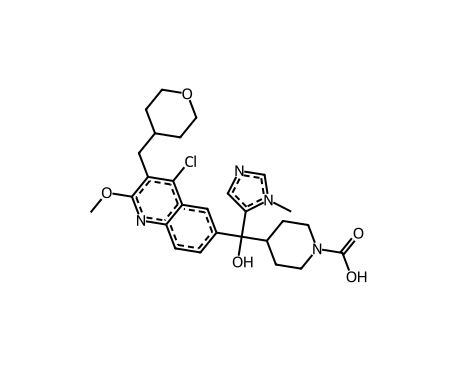 COc1nc2ccc(C(O)(c3cncn3C)C3CCN(C(=O)O)CC3)cc2c(Cl)c1CC1CCOCC1